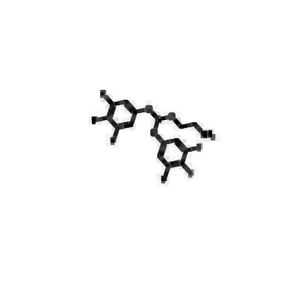 NCCOB(Oc1cc(F)c(F)c(F)c1)Oc1cc(F)c(F)c(F)c1